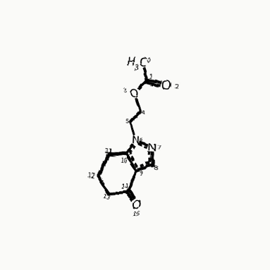 CC(=O)OCCn1ncc2c1CCCC2=O